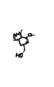 COc1cc(CO)cc2cnn(C)c12